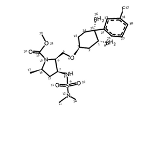 B[C@@H]1C[C@@H](OC[C@H]2[C@@H](NS(=O)(=O)N(C)C)C[C@@H](C)N2C(=O)OC)CC[C@@]1(B)c1cccc(F)c1